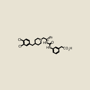 CC(C)[C@H](CN1CCC(Cc2ccc(Cl)c(Cl)c2)CC1)NC(=O)Nc1cccc(CC(=O)O)c1